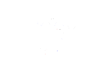 O=C(N(Cc1ccc(-c2nnc(C(F)F)o2)cn1)c1ccccc1)C1(F)CN(C2CCNCC2)C1.O=C(O)C(F)(F)F